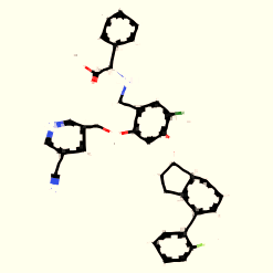 N#Cc1cncc(COc2cc(O[C@H]3CCc4c(-c5ccccc5F)cccc43)c(Cl)cc2CN[C@@H](C(=O)O)c2ccccc2)c1